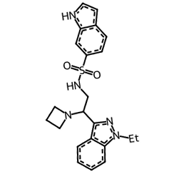 CCn1nc(C(CNS(=O)(=O)c2ccc3cc[nH]c3c2)N2CCC2)c2ccccc21